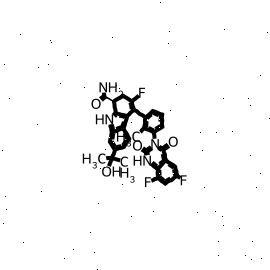 Cc1c(C2=C(F)C[C@H](C(N)=O)c3[nH]c4cc(C(C)(C)O)ccc4c32)cccc1-n1c(=O)[nH]c2c(F)cc(F)cc2c1=O